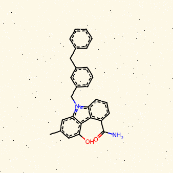 Cc1cc(O)c2c3c(C(N)=O)cccc3n(Cc3cccc(Cc4ccccc4)c3)c2c1